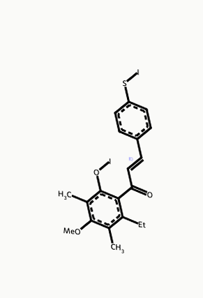 CCc1c(C)c(OC)c(C)c(OI)c1C(=O)/C=C/c1ccc(SI)cc1